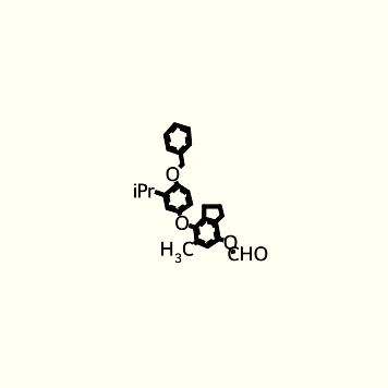 Cc1cc(OC=O)c2c(c1Oc1ccc(OCc3ccccc3)c(C(C)C)c1)CCC2